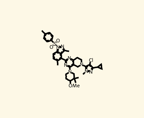 COC1CCN(c2nc(-c3c(C)ccc4c3c(C)nn4S(=O)(=O)c3ccc(C)cc3)nc3c2CN(c2c(Cl)c(C4CC4)nn2C)CC3)CC1(C)C